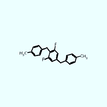 Cc1ccc(Cc2cc(F)c(Cc3ccc(C)cc3)c(F)c2)cc1